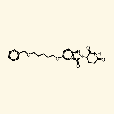 O=C1CCC(n2nc3ccc(OCCCCCOCc4ccccc4)cn3c2=O)C(=O)N1